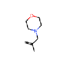 C=C(C)CN1CCOCC1